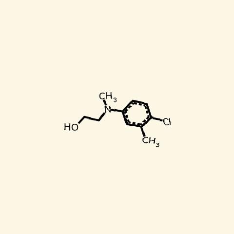 Cc1cc(N(C)CCO)ccc1Cl